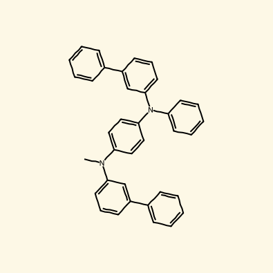 CN(c1ccc(N(c2ccccc2)c2cccc(-c3ccccc3)c2)cc1)c1cccc(-c2ccccc2)c1